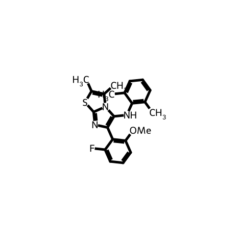 COc1cccc(F)c1-c1nc2sc(C)c(C)n2c1Nc1c(C)cccc1C